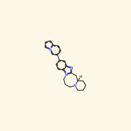 c1cc2ccc(-c3ccc4c(c3)nc3n4CCCN4CCCC[C@H]4C3)cn2c1